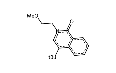 COCCn1cc(C(C)(C)C)c2ccccc2c1=O